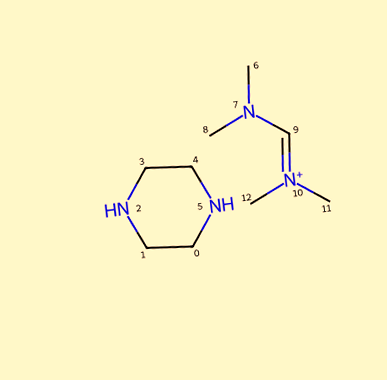 C1CNCCN1.CN(C)C=[N+](C)C